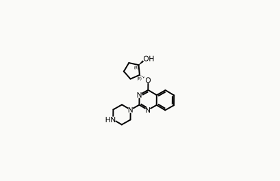 O[C@@H]1CCC[C@H]1Oc1nc(N2CCNCC2)nc2ccccc12